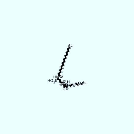 CC(=O)CCCCCCCCCCCCCCCCC(=O)N[C@@H](CCC(=O)NC(C)(C)C(=O)NCCOCCOCC(C)=O)C(=O)O